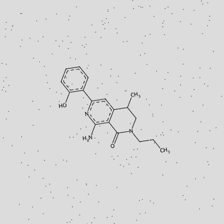 CCCN1CC(C)c2cc(-c3ccccc3O)nc(N)c2C1=O